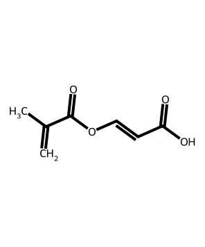 C=C(C)C(=O)O/C=C/C(=O)O